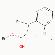 CCOC(O)CC(c1ccccc1Cl)C(C)C